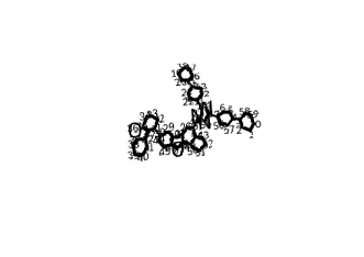 c1ccc(-c2ccc(-c3nc(-c4ccc(-c5ccccc5)cc4)nc(-c4cc5c6cc(-c7cccc8oc9ccccc9c78)ccc6oc5c5ccccc45)n3)cc2)cc1